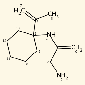 C=C(CN)NC1(C(=C)C)CCCCC1